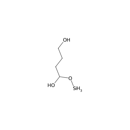 OCCCC(O)O[SiH3]